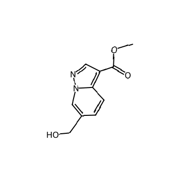 COC(=O)c1cnn2cc(CO)ccc12